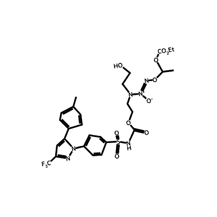 CCOC(=O)OC(C)ON=[N+]([O-])N(CCO)CCOC(=O)NS(=O)(=O)c1ccc(-n2nc(C(F)(F)F)cc2-c2ccc(C)cc2)cc1